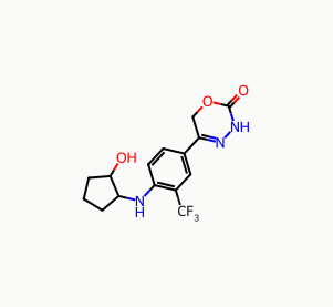 O=C1NN=C(c2ccc(NC3CCCC3O)c(C(F)(F)F)c2)CO1